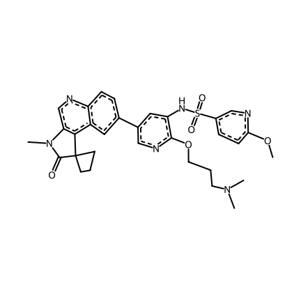 COc1ccc(S(=O)(=O)Nc2cc(-c3ccc4ncc5c(c4c3)C3(CCC3)C(=O)N5C)cnc2OCCCN(C)C)cn1